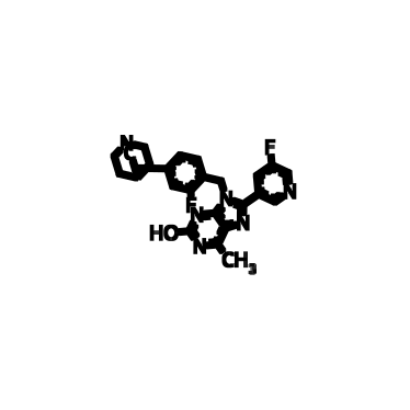 Cc1nc(O)nc2c1nc(-c1cncc(F)c1)n2Cc1ccc(C2CN3CCC2CC3)cc1F